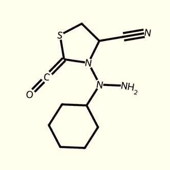 N#CC1CSC(=C=O)N1N(N)C1CCCCC1